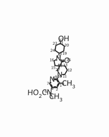 Cc1cc(N(C)C(=O)O)cnc1N1CCC[C@]2(CCN([C@H]3CC[C@H](O)CC3)C2=O)C1